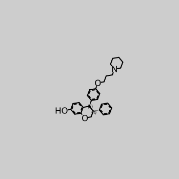 Oc1ccc2c(c1)OC[C@@H](c1ccccc1)[C@@H]2c1ccc(OCCCN2CCCCC2)cc1